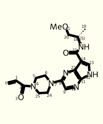 C=CC(=O)N1CCN(c2cnc3[nH]cc(C(=O)N[C@@H](C)COC)c3n2)CC1